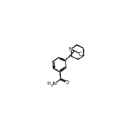 NC(=O)c1cccc(C2CC3CCN2CC3)c1